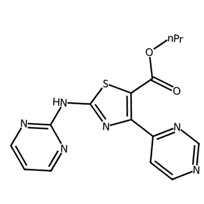 CCCOC(=O)c1sc(Nc2ncccn2)nc1-c1ccncn1